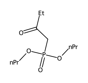 CCCOP(=O)(CC(=O)CC)OCCC